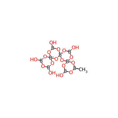 CB1OB(O)O[B-]2(O1)OB(O)O[B-]1(OB(O)O[B-]3(OB(O)OB(O)O3)O1)O2